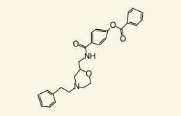 O=C(NCC1CN(CCc2ccccc2)CCO1)c1ccc(OC(=O)c2ccccc2)cc1